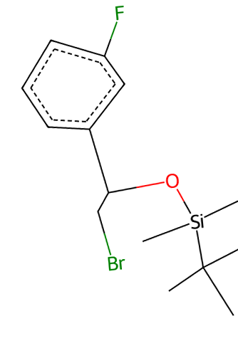 CC(C)(C)[Si](C)(C)OC(CBr)c1cccc(F)c1